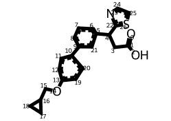 O=C(O)CC(c1cccc(-c2ccc(OCC3CC3)cc2)c1)c1nccs1